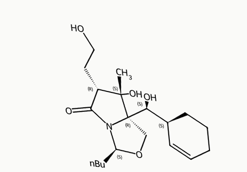 CCCC[C@@H]1OC[C@]2([C@@H](O)[C@@H]3C=CCCC3)N1C(=O)[C@H](CCO)[C@]2(C)O